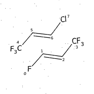 F/C=C/C(F)(F)F.FC(F)(F)/C=C/Cl